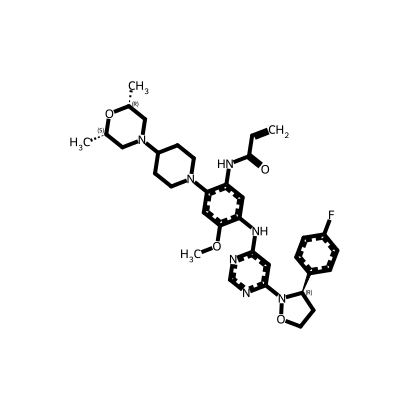 C=CC(=O)Nc1cc(Nc2cc(N3OCC[C@@H]3c3ccc(F)cc3)ncn2)c(OC)cc1N1CCC(N2C[C@@H](C)O[C@@H](C)C2)CC1